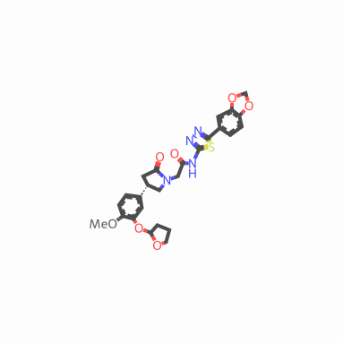 COc1ccc([C@@H]2CC(=O)N(CC(=O)Nc3nnc(-c4ccc5c(c4)OCO5)s3)C2)cc1OC1CCCO1